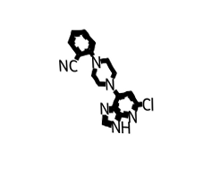 N#Cc1ccccc1N1CCN(c2cc(Cl)nc3[nH]cnc23)CC1